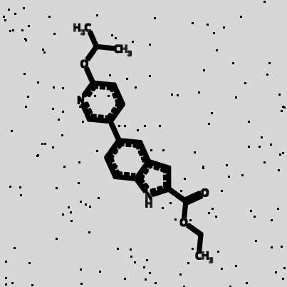 CCOC(=O)c1cc2cc(-c3ccc(OC(C)C)nc3)ccc2[nH]1